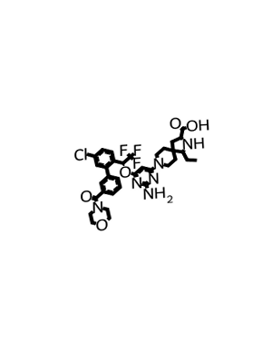 CCC1NC(C(=O)O)CC12CCN(c1cc(O[C@H](c3ccc(Cl)cc3-c3cccc(C(=O)N4CCOCC4)c3)C(F)(F)F)nc(N)n1)CC2